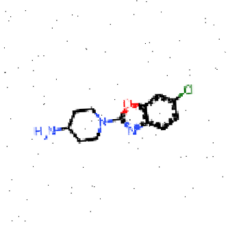 NC1CCN(c2nc3ccc(Cl)cc3o2)CC1